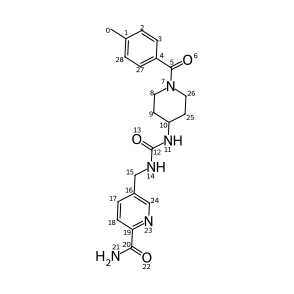 Cc1ccc(C(=O)N2CCC(NC(=O)NCc3ccc(C(N)=O)nc3)CC2)cc1